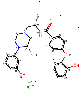 CC(C)[C@@H](CN1CCN(c2cccc(O)c2)[C@@H](C)C1)NC(=O)c1ccc(Oc2ccccc2O)cc1.Cl.Cl